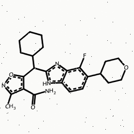 Cc1noc(C(c2nc3c(F)c(C4CCOCC4)ccc3[nH]2)C2CCCCC2)c1C(N)=O